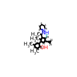 C=C(NN1CCCCC1)c1c(C)c(-c2cc(C)cc(C)c2O)cc(C2CC2)c1F